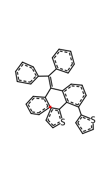 c1ccc(C(=C(c2ccccc2)c2cccc(-c3cccs3)c2-c2cccs2)c2ccccc2)cc1